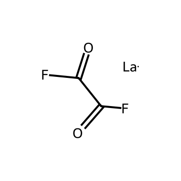 O=C(F)C(=O)F.[La]